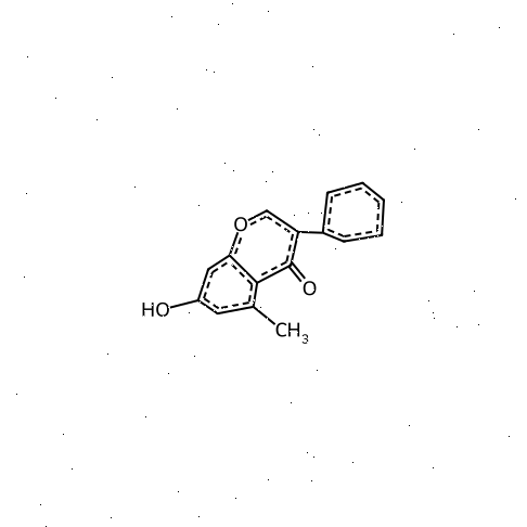 Cc1cc(O)cc2occ(-c3ccccc3)c(=O)c12